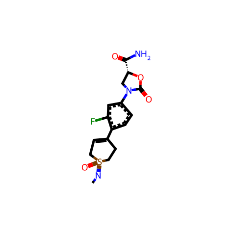 CN=S1(=O)CC=C(c2ccc(N3C[C@H](C(N)=O)OC3=O)cc2F)CC1